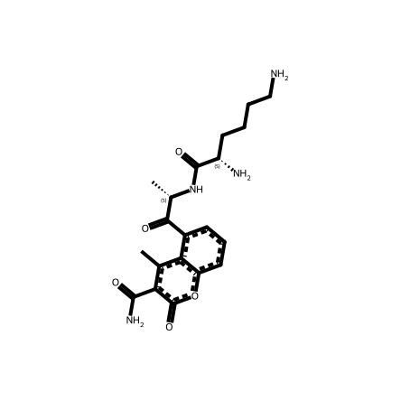 Cc1c(C(N)=O)c(=O)oc2cccc(C(=O)[C@H](C)NC(=O)[C@@H](N)CCCCN)c12